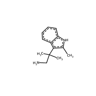 Cc1[nH]c2ccccc2c1C(C)(C)CN